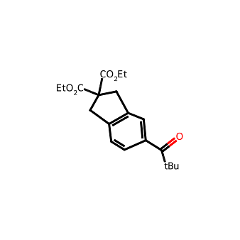 CCOC(=O)C1(C(=O)OCC)Cc2ccc(C(=O)C(C)(C)C)cc2C1